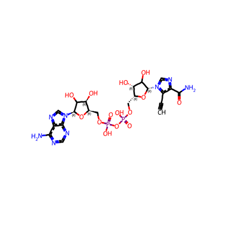 C#Cc1c(C(N)=O)ncn1[C@@H]1O[C@H](COP(=O)(O)OP(=O)(O)OC[C@H]2O[C@@H](n3cnc4c(N)ncnc43)C(O)[C@H]2O)[C@H](O)C1O